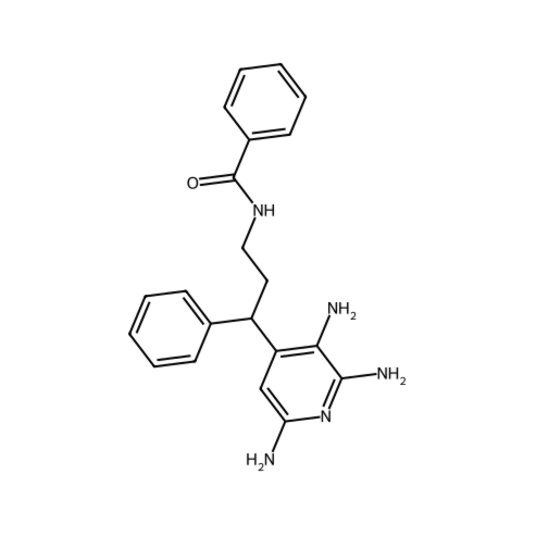 Nc1cc(C(CCNC(=O)c2ccccc2)c2ccccc2)c(N)c(N)n1